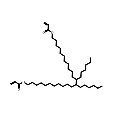 C=CC(=O)OCCCCCCCCCCCC(CCCCCC)C(CCCCCC)CCCCCCCCCCCOC(=O)C=C